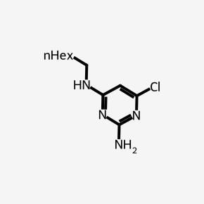 CCCCCCCNc1cc(Cl)nc(N)n1